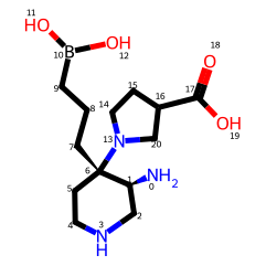 N[C@H]1CNCC[C@]1(CCCB(O)O)N1CCC(C(=O)O)C1